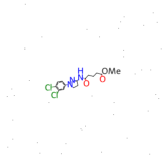 COC(=O)CCCC(=O)NC1=NN(c2ccc(Cl)c(Cl)c2)CC1